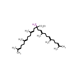 CCOC(=O)C(P)(C/C=C(\C)CC/C=C(\C)CCC=C(C)C)C/C=C(\C)CC/C=C(\C)CCC=C(C)C